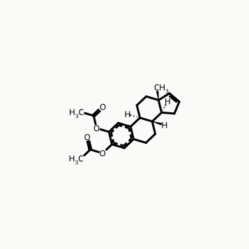 CC(=O)Oc1cc2c(cc1OC(C)=O)[C@H]1CC[C@]3(C)C=CC[C@H]3[C@@H]1CC2